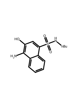 CCCCNS(=O)(=O)c1cc(O)c(N)c2ccccc12